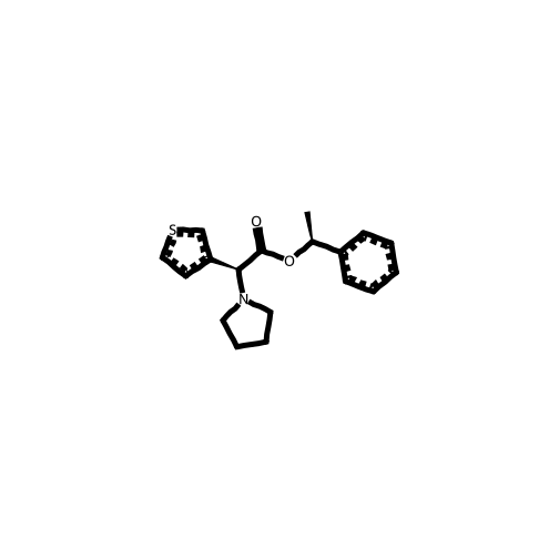 C[C@H](OC(=O)[C@H](c1ccsc1)N1CCCC1)c1ccccc1